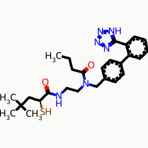 CCCC(=O)N(CCNC(=O)[C@@H](S)CC(C)(C)C)Cc1ccc(-c2ccccc2-c2nnn[nH]2)cc1